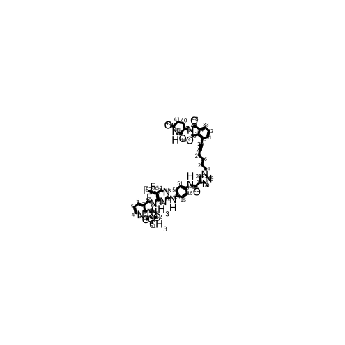 CN(c1ncccc1CNc1nc(Nc2ccc(NC(=O)c3cn(CCCCC#Cc4cccc5c4C(=O)N(C4CCC(=O)NC4=O)C5=O)nn3)cc2)ncc1C(F)(F)F)S(C)(=O)=O